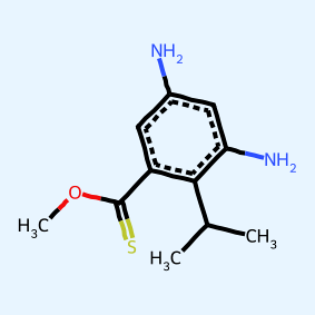 COC(=S)c1cc(N)cc(N)c1C(C)C